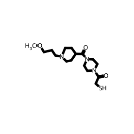 COCCCN1CCC(C(=O)N2CCN(C(=O)CS)CC2)CC1